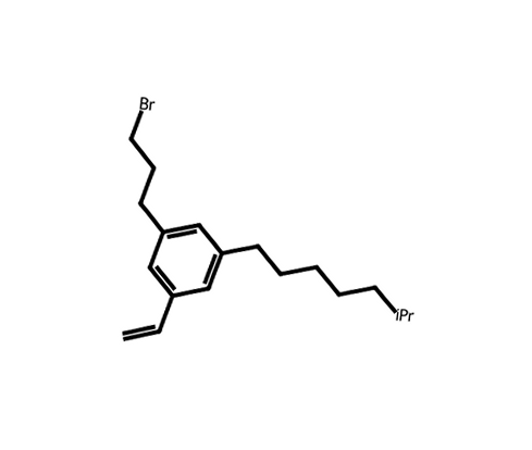 C=Cc1cc(CCCBr)cc(CCCCCC(C)C)c1